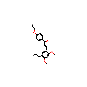 CCCOc1ccc(C(=O)C=Cc2cc(CCC)c(OC)cc2OC)cc1